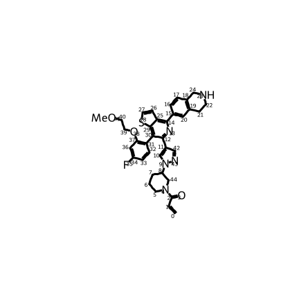 C=CC(=O)N1CCCC(n2cc(-c3nc(-c4ccc5c(c4)CCNC5)c4ccsc4c3-c3ccc(F)cc3OCCOC)cn2)C1